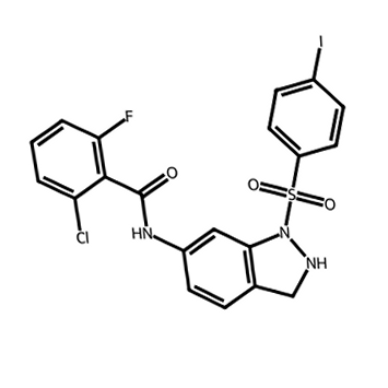 O=C(Nc1ccc2c(c1)N(S(=O)(=O)c1ccc(I)cc1)NC2)c1c(F)cccc1Cl